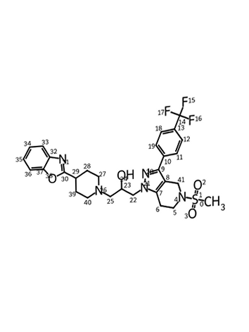 CS(=O)(=O)N1CCc2c(c(-c3ccc(C(F)(F)F)cc3)nn2CC(O)CN2CCC(c3nc4ccccc4o3)CC2)C1